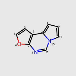 c1cc2c3ccoc3ncn2c1